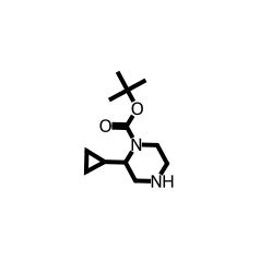 CC(C)(C)OC(=O)N1CCNCC1C1CC1